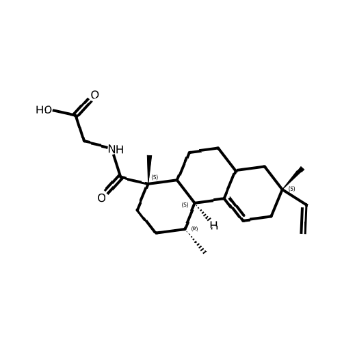 C=C[C@]1(C)CC=C2C(CCC3[C@@H]2[C@H](C)CC[C@]3(C)C(=O)NCC(=O)O)C1